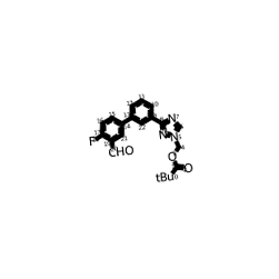 CC(C)(C)C(=O)OCn1cnc(-c2cccc(-c3ccc(F)c(C=O)c3)c2)n1